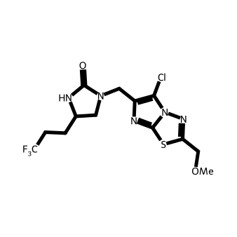 COCc1nn2c(Cl)c(CN3CC(CCC(F)(F)F)NC3=O)nc2s1